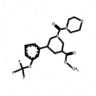 COC(=O)C1CC(c2cccc(OC(F)(F)F)c2)CN(C(=O)N2CCOCC2)C1